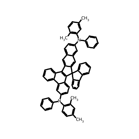 Cc1ccc(N(c2ccccc2)c2ccc3c4c(c5ccccc5c3c2)-c2cc3ccc(N(c5ccccc5)c5cc(C)ccc5C)cc3cc2C42c3ccccc3-c3ccccc32)c(C)c1